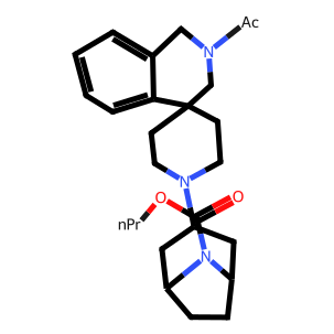 CCCOC(=O)N1C2CCC1CC(N1CCC3(CC1)CN(C(C)=O)Cc1ccccc13)C2